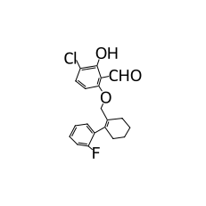 O=Cc1c(OCC2=C(c3ccccc3F)CCCC2)ccc(Cl)c1O